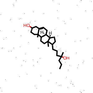 CCCC(C)(O)CCCC1CC[C@H]2[C@@H]3CC=C4CC(O)CCC4(C)C3CCC12C